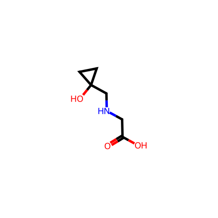 O=C(O)CNCC1(O)CC1